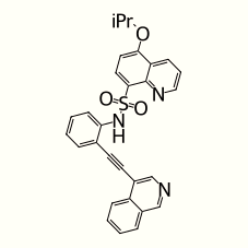 CC(C)Oc1ccc(S(=O)(=O)Nc2ccccc2C#Cc2cncc3ccccc23)c2ncccc12